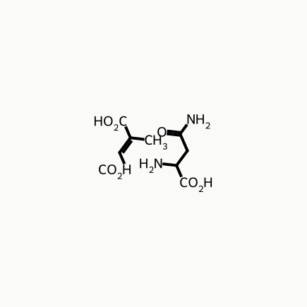 C/C(=C\C(=O)O)C(=O)O.NC(=O)CC(N)C(=O)O